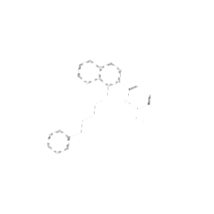 C[C@H](NC(=O)c1ccc2ccccc2c1OCCCCc1ccccc1)C(=O)O